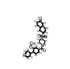 COc1cc(C(=O)N2CCN(S(=O)(=O)c3ccc4cc(Cl)ccc4c3)CC2)ccc1-c1ccncc1